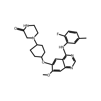 COc1cc2ncnc(Nc3cc(C)ccc3F)c2cc1OC1CCC(N2CCNC(=O)C2)CC1